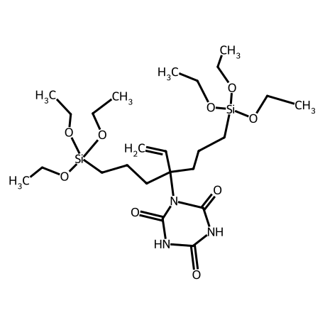 C=CC(CCC[Si](OCC)(OCC)OCC)(CCC[Si](OCC)(OCC)OCC)n1c(=O)[nH]c(=O)[nH]c1=O